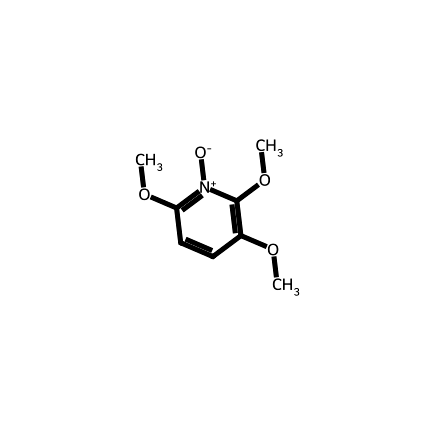 COc1ccc(OC)[n+]([O-])c1OC